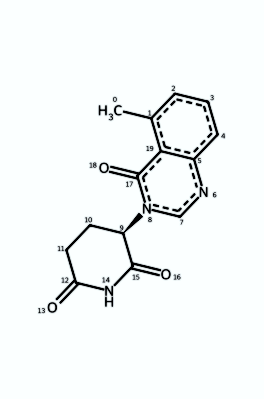 Cc1cccc2ncn([C@@H]3CCC(=O)NC3=O)c(=O)c12